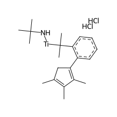 CC1=C(C)C(C)=C(c2ccccc2[C](C)(C)[Ti][NH]C(C)(C)C)C1.Cl.Cl